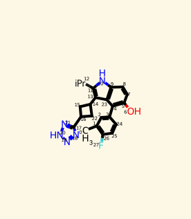 Cc1cc(-c2c(O)ccc3[nH]c(C(C)C)c(C4CC(c5nn[nH]n5)C4)c23)ccc1F